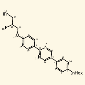 CCCCCCc1ccc(-c2cnc(-c3ccc(OCC(F)CC(C)C)cc3)nc2)cc1